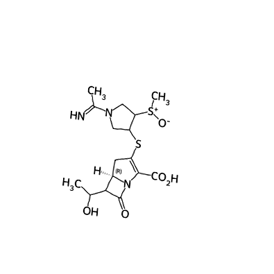 CC(=N)N1CC(SC2=C(C(=O)O)N3C(=O)C(C(C)O)[C@H]3C2)C([S+](C)[O-])C1